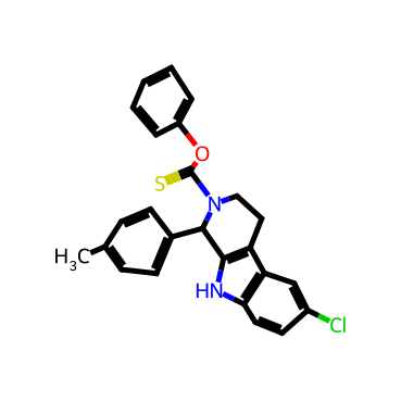 Cc1ccc(C2c3[nH]c4ccc(Cl)cc4c3CCN2C(=S)Oc2ccccc2)cc1